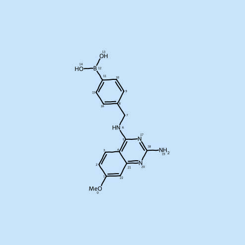 COc1ccc2c(NCc3ccc(B(O)O)cc3)nc(N)nc2c1